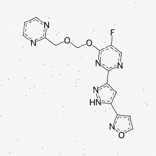 Fc1cnc(-c2cc(-c3ccon3)[nH]n2)nc1OCOCc1ncccn1